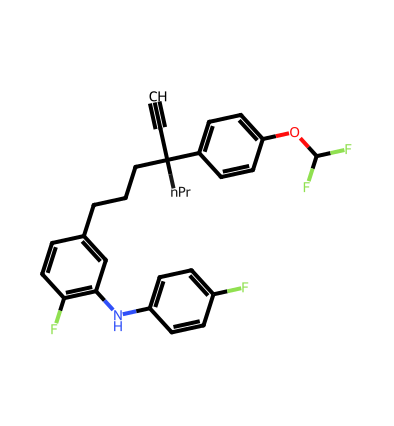 C#CC(CCC)(CCCc1ccc(F)c(Nc2ccc(F)cc2)c1)c1ccc(OC(F)F)cc1